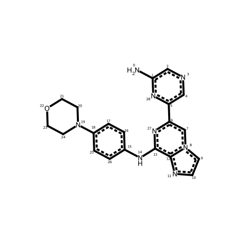 Nc1cncc(-c2cn3ccnc3c(Nc3ccc(N4CCOCC4)cc3)n2)n1